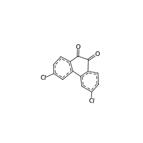 O=C1C(=O)c2ccc(Cl)cc2-c2cc(Cl)ccc21